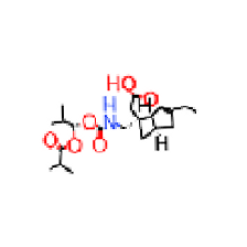 CCC1=C[C@H]2[C@@H](C1)C[C@@]2(CNC(=O)O[C@H](OC(=O)C(C)C)C(C)C)CC(=O)O